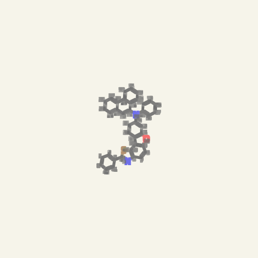 c1ccc(-c2nc3ccc4oc5cc(N(c6ccccc6)c6cc7ccccc7c7ccccc67)ccc5c4c3s2)cc1